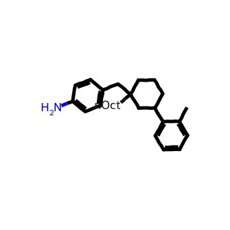 CCCCCCCCC1(Cc2ccc(N)cc2)CCCC(c2ccccc2C)C1